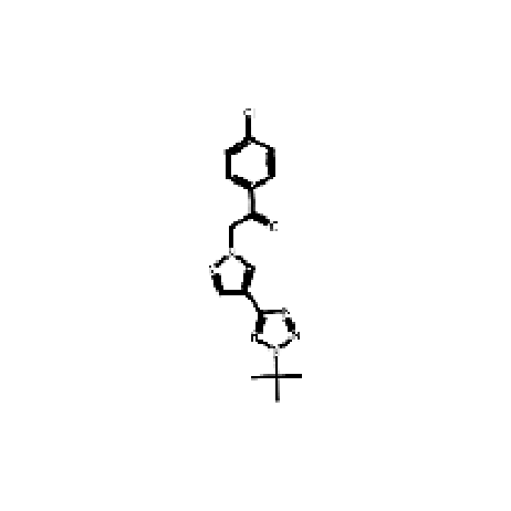 CC(C)(C)n1nnc(-c2cnn(CC(=O)c3ccc(Cl)cc3)c2)n1